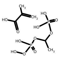 C=C(C)C(=O)O.CC(OP(=O)(O)O)OP(=O)(O)OO